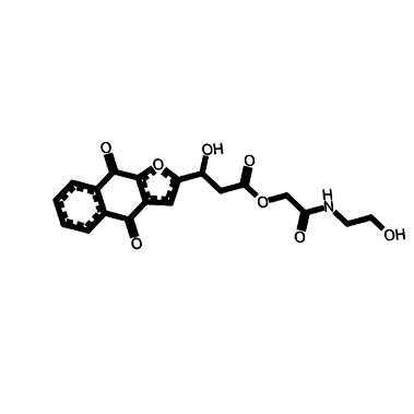 O=C(COC(=O)CC(O)c1cc2c(o1)C(=O)c1ccccc1C2=O)NCCO